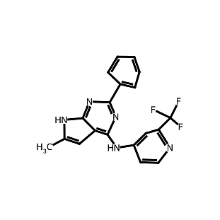 Cc1cc2c(Nc3ccnc(C(F)(F)F)c3)nc(-c3ccccc3)nc2[nH]1